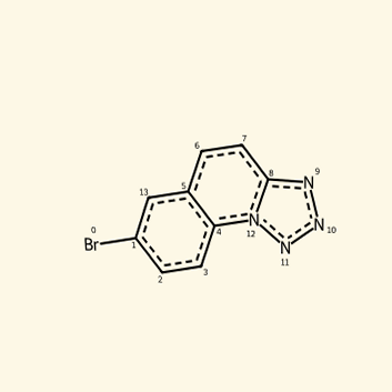 Brc1ccc2c(ccc3nnnn32)c1